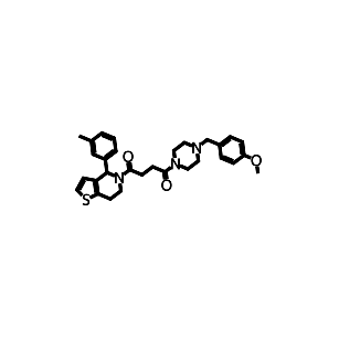 COc1ccc(CN2CCN(C(=O)CCC(=O)N3CCc4sccc4C3c3cccc(C)c3)CC2)cc1